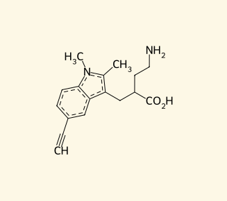 C#Cc1ccc2c(c1)c(CC(CCN)C(=O)O)c(C)n2C